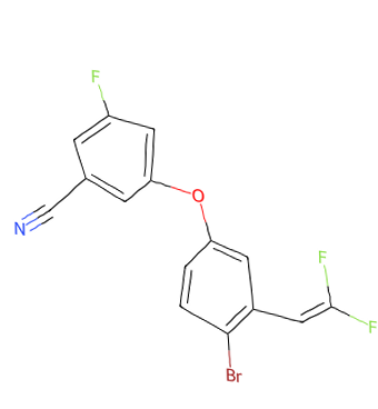 N#Cc1cc(F)cc(Oc2ccc(Br)c(C=C(F)F)c2)c1